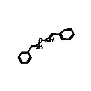 C(=[SiH]O[SiH]=Cc1ccccc1)c1ccccc1